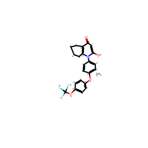 C.O=c1cc(O)n(-c2ccc(Oc3ccc(OC(F)(F)F)cc3)cc2)c2c1CCCC2